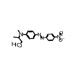 CC(CO)N(C)c1ccc(N=Nc2ccc([N+](=O)[O-])cc2)cc1